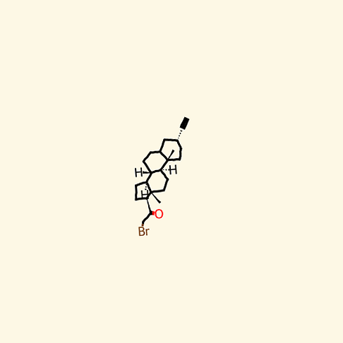 C#C[C@@H]1CC[C@@]2(C)C(CC[C@H]3[C@@H]4CC[C@H](C(=O)CBr)[C@@]4(C)CC[C@@H]32)C1